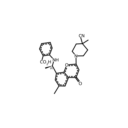 Cc1cc([C@@H](C)Nc2ccccc2C(=O)O)c2oc(N3CCC(C)(C#N)CC3)cc(=O)c2c1